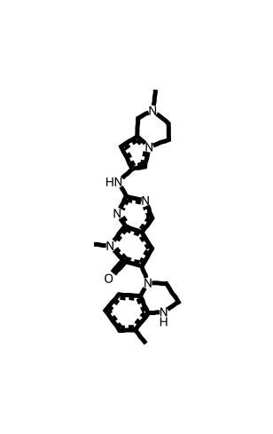 Cc1cccc2c1NCCN2c1cc2cnc(Nc3cc4n(c3)CCN(C)C4)nc2n(C)c1=O